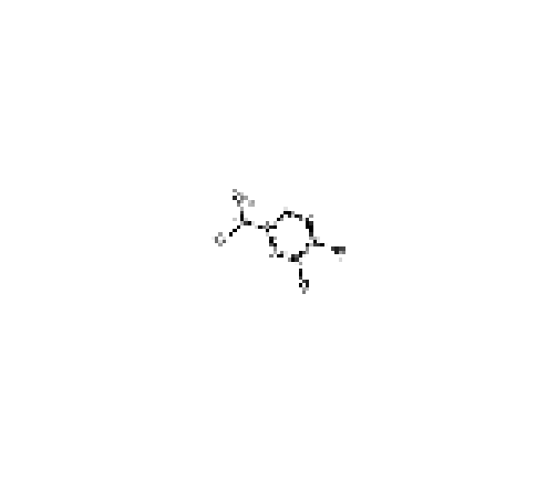 CN(C)c1ccc(Br)c(Cl)c1